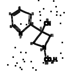 N#CC1(c2ccccn2)CN(C(=O)O)C1